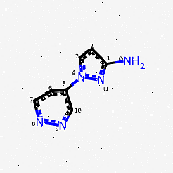 Nc1ccn(-c2ccnnc2)n1